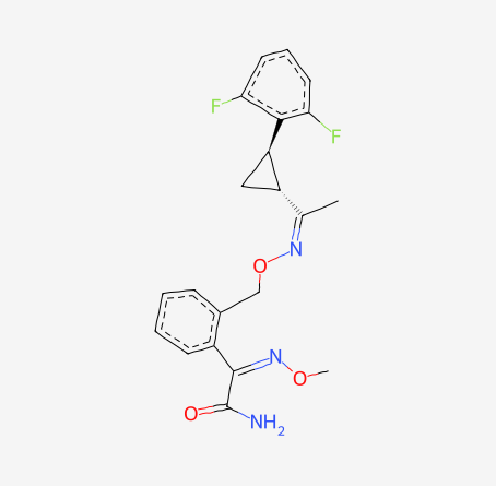 CON=C(C(N)=O)c1ccccc1CON=C(C)[C@@H]1C[C@H]1c1c(F)cccc1F